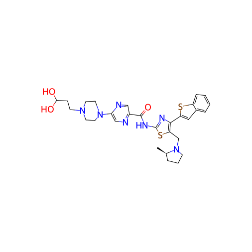 C[C@@H]1CCCN1Cc1sc(NC(=O)c2cnc(N3CCN(CCC(O)O)CC3)cn2)nc1-c1cc2ccccc2s1